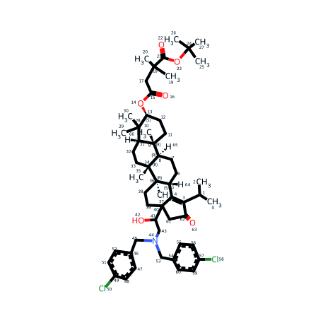 CC(C)C1=C2[C@H]3CC[C@@H]4[C@@]5(C)CC[C@H](OC(=O)CC(C)(C)C(=O)OC(C)(C)C)C(C)(C)[C@H]5CC[C@@]4(C)[C@]3(C)CCC2(C(O)CN(Cc2ccc(Cl)cc2)Cc2ccc(Cl)cc2)CC1=O